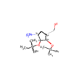 CC(C)(C)[Si](C)(C)O[C@@H]1[C@@H](CO)C[C@@H](N)[C@@H]1O[Si](C)(C)C(C)(C)C